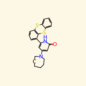 O=c1cc(N2CCCCCC2)cc(-c2cccc3c2Sc2ccccc2S3)[nH]1